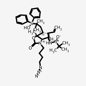 C=CC[C@@H](N[S@@+]([O-])C(C)(C)C)[C@H]1N(CCCCN=[N+]=[N-])C(=O)O[C@]1(C)[C@@H](CC)CC(C)(C)[Si](O)(c1ccccc1)c1ccccc1